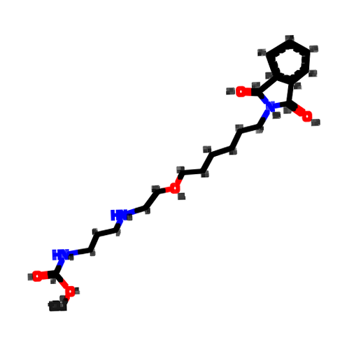 CC(C)(C)OC(=O)NCCCNCCOCCCCCCN1C(=O)c2ccccc2C1=O